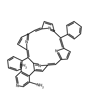 Nc1cncc(N)c1C1=CC2=CC3=NC(=C(c4ccccc4)C4=NC(=CC5=NC(=C(c6ccccc6)C1=N2)C=C5)C=C4)C=C3